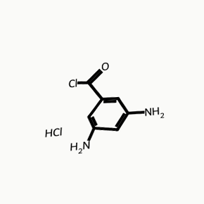 Cl.Nc1cc(N)cc(C(=O)Cl)c1